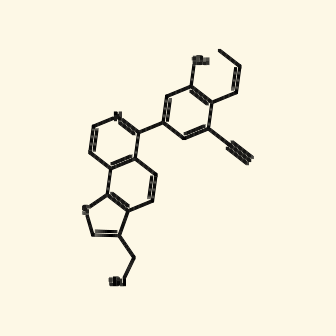 C#Cc1cc(-c2nccc3c2ccc2c(CC(C)(C)C)csc23)cc(C(C)(C)C)c1/C=C\C